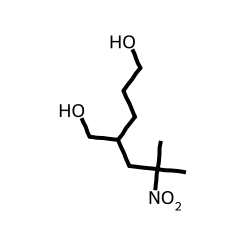 CC(C)(CC(CO)CCCO)[N+](=O)[O-]